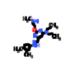 CCCN(CCC)c1cc(/C=N/Nc2ccc(C)c(C)c2)nc(OCCNC)n1